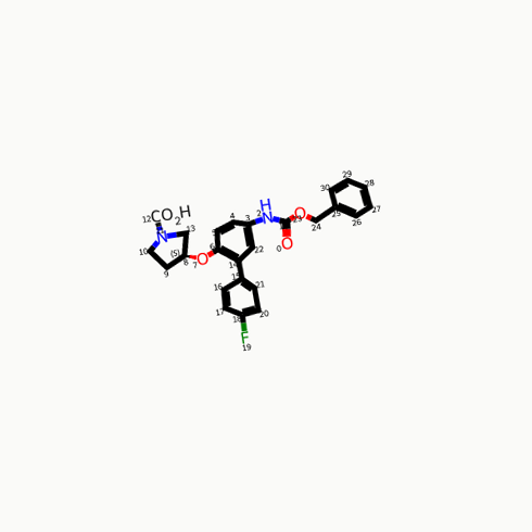 O=C(Nc1ccc(O[C@H]2CCN(C(=O)O)C2)c(-c2ccc(F)cc2)c1)OCc1ccccc1